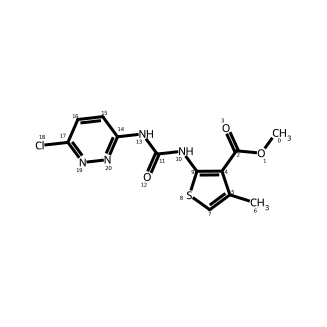 COC(=O)c1c(C)csc1NC(=O)Nc1ccc(Cl)nn1